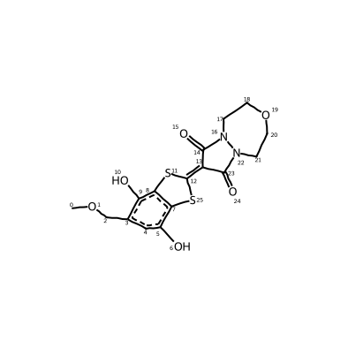 COCc1cc(O)c2c(c1O)SC(=C1C(=O)N3CCOCCN3C1=O)S2